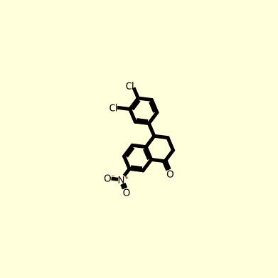 O=C1CCC(c2ccc(Cl)c(Cl)c2)c2ccc([N+](=O)[O-])cc21